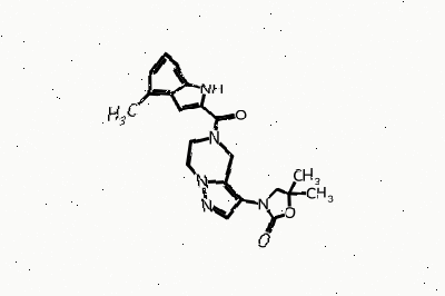 Cc1cccc2[nH]c(C(=O)N3CCn4ncc(N5CC(C)(C)OC5=O)c4C3)cc12